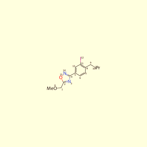 COCc1nc(-c2ccc(CC(C)C)c(I)c2)no1